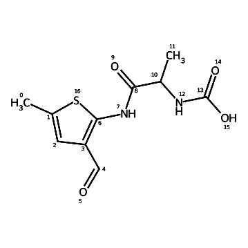 Cc1cc(C=O)c(NC(=O)C(C)NC(=O)O)s1